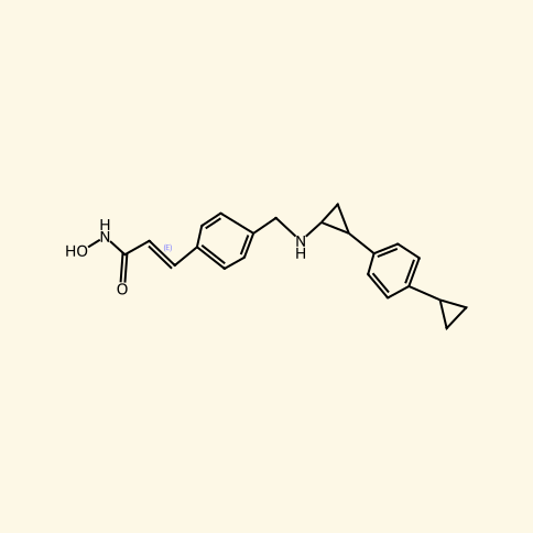 O=C(/C=C/c1ccc(CNC2CC2c2ccc(C3CC3)cc2)cc1)NO